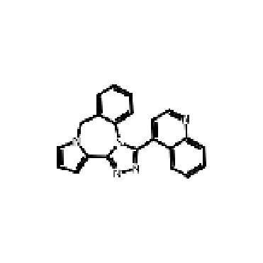 c1ccc2c(c1)Cn1cccc1-c1nnc(-c3ccnc4ccccc34)n1-2